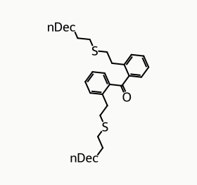 CCCCCCCCCCCCSCCc1ccccc1C(=O)c1ccccc1CCSCCCCCCCCCCCC